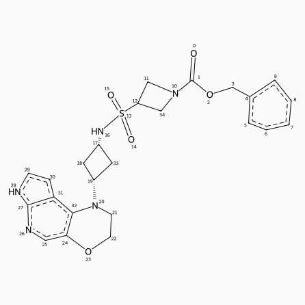 O=C(OCc1ccccc1)N1CC(S(=O)(=O)N[C@H]2C[C@@H](N3CCOc4cnc5[nH]ccc5c43)C2)C1